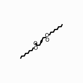 CCCCCCCCOC(=O)CC#CCC(=O)OCCCCCCCC